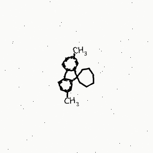 Cc1ccc2c(c1)C1(CCCCCC1)c1cc(C)ccc1-2